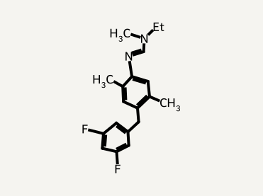 CCN(C)C=Nc1cc(C)c(Cc2cc(F)cc(F)c2)cc1C